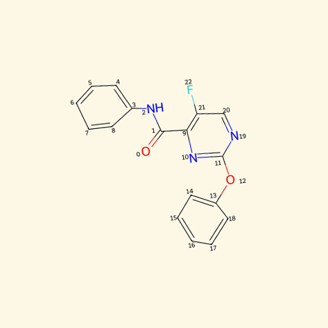 O=C(Nc1ccccc1)c1nc(Oc2ccccc2)ncc1F